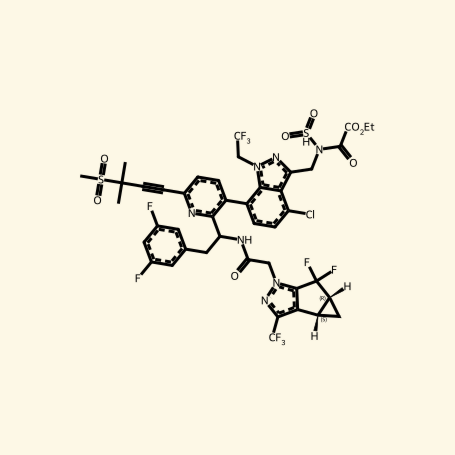 CCOC(=O)C(=O)N(Cc1nn(CC(F)(F)F)c2c(-c3ccc(C#CC(C)(C)S(C)(=O)=O)nc3C(Cc3cc(F)cc(F)c3)NC(=O)Cn3nc(C(F)(F)F)c4c3C(F)(F)[C@@H]3C[C@H]43)ccc(Cl)c12)[SH](=O)=O